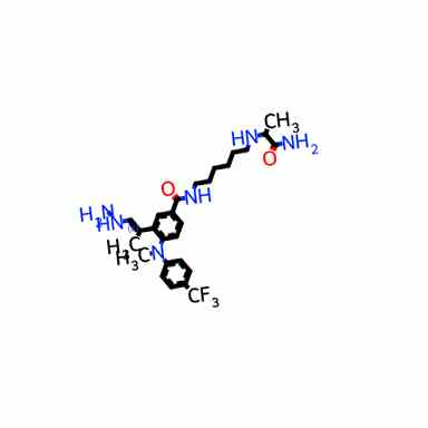 C/C(=C\NN)c1cc(C(=O)NCCCCCCNC(C)C(N)=O)ccc1N(C)c1ccc(C(F)(F)F)cc1